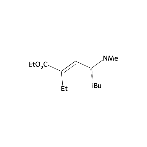 CCOC(=O)C(=CC(NC)[C@@H](C)CC)CC